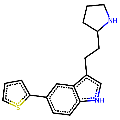 c1csc(-c2ccc3[nH]cc(CCC4CCCN4)c3c2)c1